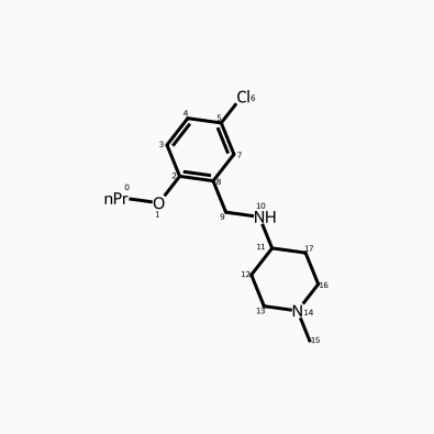 CCCOc1ccc(Cl)cc1CNC1CCN(C)CC1